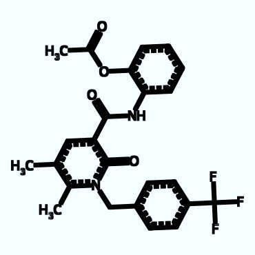 CC(=O)Oc1ccccc1NC(=O)c1cc(C)c(C)n(Cc2ccc(C(F)(F)F)cc2)c1=O